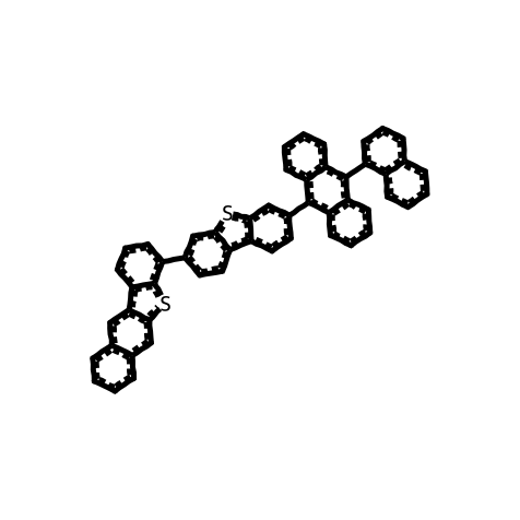 c1ccc2cc3c(cc2c1)sc1c(-c2ccc4c(c2)sc2cc(-c5c6ccccc6c(-c6cccc7ccccc67)c6ccccc56)ccc24)cccc13